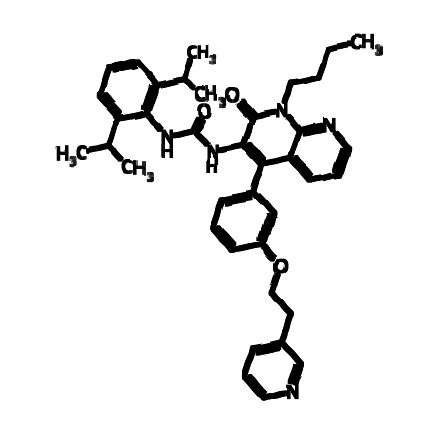 CCCCn1c(=O)c(NC(=O)Nc2c(C(C)C)cccc2C(C)C)c(-c2cccc(OCCc3cccnc3)c2)c2cccnc21